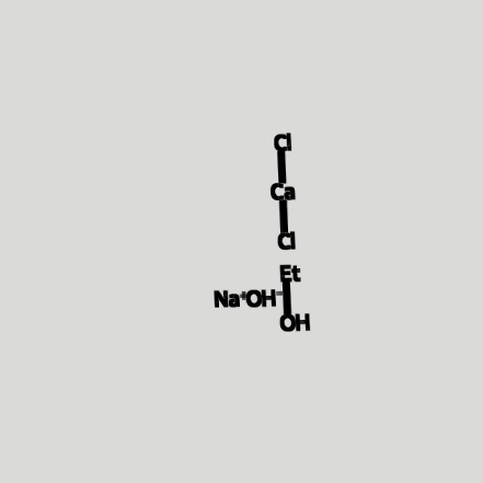 CCO.[Cl][Ca][Cl].[Na+].[OH-]